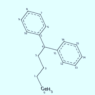 [GeH3][CH2]CCC(c1ccccc1)c1ccccc1